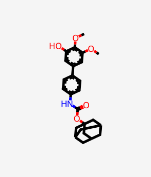 COc1cc(-c2ccc(NC(=O)OC34CC5CC(CC(C5)C3)C4)cc2)cc(O)c1OC